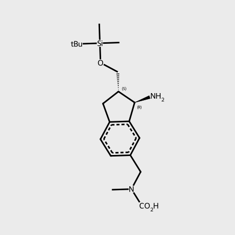 CN(Cc1ccc2c(c1)[C@H](N)[C@@H](CO[Si](C)(C)C(C)(C)C)C2)C(=O)O